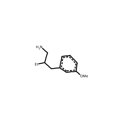 CCC(CN)Cc1cccc(OC)c1